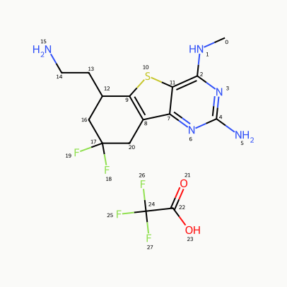 CNc1nc(N)nc2c3c(sc12)C(CCN)CC(F)(F)C3.O=C(O)C(F)(F)F